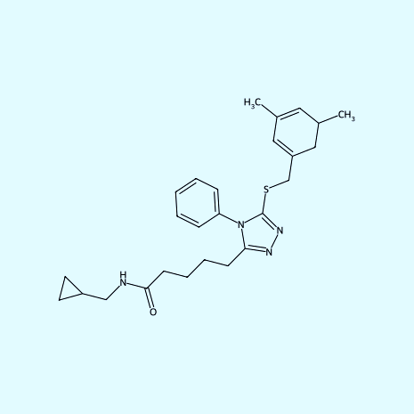 CC1=CC(C)CC(CSc2nnc(CCCCC(=O)NCC3CC3)n2-c2ccccc2)=C1